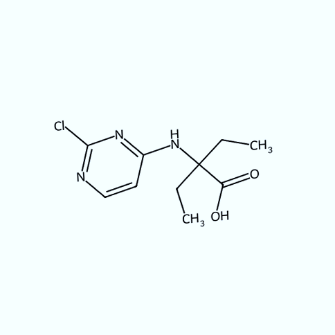 CCC(CC)(Nc1ccnc(Cl)n1)C(=O)O